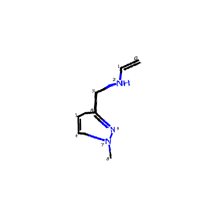 C=CNCc1ccn(C)n1